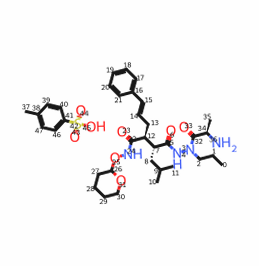 CCCN(NC(=O)[C@H](CC(C)C)[C@H](CC=Cc1ccccc1)C(=O)NOC1CCCCO1)C(=O)[C@@H](C)N.Cc1ccc(S(=O)(=O)O)cc1